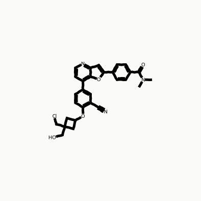 CN(C)C(=O)c1ccc(-c2cc3nccc(-c4ccc(OC5CC(CO)(CCl)C5)c(C#N)c4)c3o2)cc1